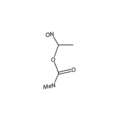 CNC(=O)OC(C)N=O